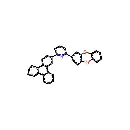 c1cc(-c2ccc3c(c2)Sc2ccccc2O3)nc(-c2ccc3c4ccccc4c4ccccc4c3c2)c1